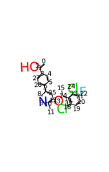 C=C(O)c1ccc(-c2cnc(C)c(OC(C)c3c(Cl)ccc(F)c3Cl)c2)cc1